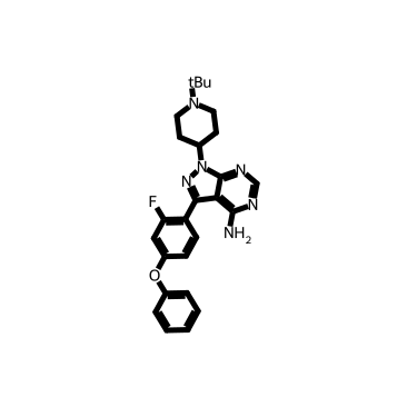 CC(C)(C)N1CCC(n2nc(-c3ccc(Oc4ccccc4)cc3F)c3c(N)ncnc32)CC1